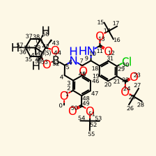 COc1c(CC(NC(=O)C(NC(=O)OC(C)(C)C)c2ccc(C(=O)OC(C)(C)C)c(Cl)c2)B2O[C@@H]3C[C@@H]4C[C@@H](C4(C)C)[C@]3(C)O2)cccc1C(=O)OC(C)(C)C